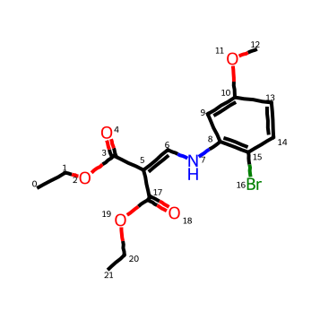 CCOC(=O)C(=CNc1cc(OC)ccc1Br)C(=O)OCC